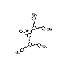 CC(C)(C)c1ccc(/C=C/c2cc(/C=C/c3ccc(C(C)(C)C)cc3)cc(/C=C/c3cc(/C=C/c4cc(/C=C/c5ccc(C(C)(C)C)cc5)cc(/C=C/c5ccc(C(C)(C)C)cc5)c4)cc(CC(O)C4=C=C=C=C4)c3)c2)cc1